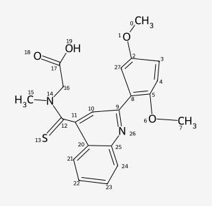 COc1ccc(OC)c(-c2cc(C(=S)N(C)CC(=O)O)c3ccccc3n2)c1